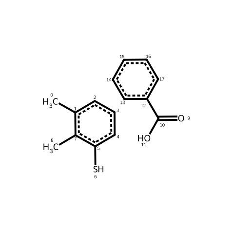 Cc1cccc(S)c1C.O=C(O)c1ccccc1